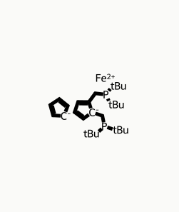 CC(C)(C)P(Cc1ccc[c-]1CP(C(C)(C)C)C(C)(C)C)C(C)(C)C.[Fe+2].c1cc[cH-]c1